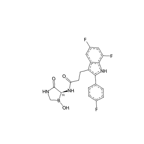 O=C(CCc1c(-c2ccc(F)cc2)[nH]c2c(F)cc(F)cc12)N[C@H]1B(O)CNC1=O